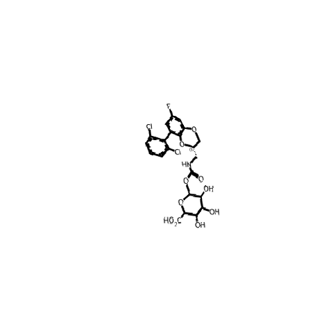 O=C(NC[C@H]1COc2cc(F)cc(-c3c(Cl)cccc3Cl)c2O1)OC1OC(C(=O)O)C(O)C(O)C1O